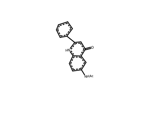 CC(=O)Nc1ccc2[nH]c(-c3ccccc3)cc(=O)c2c1